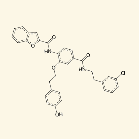 O=C(NCCc1cccc(Cl)c1)c1ccc(NC(=O)c2cc3ccccc3o2)c(OCCc2ccc(O)cc2)c1